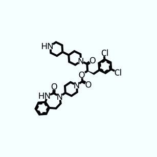 O=C(O[C@H](Cc1cc(Cl)cc(Cl)c1)C(=O)N1CCC(C2CCNCC2)CC1)N1CCC(N2CCc3ccccc3NC2=O)CC1